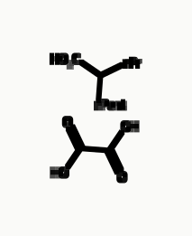 CCCCCC(CCC)C(=O)O.O=C(O)C(=O)O